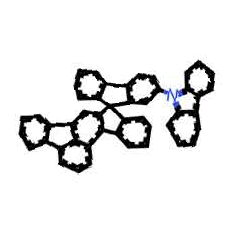 c1ccc2c(c1)-c1cccc3c4c(cc-2c13)C1(c2ccccc2-c2ccc(-n3c5ccccc5c5ccccc53)cc21)c1ccccc1-4